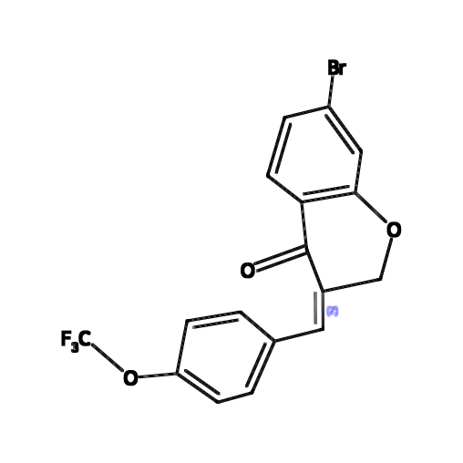 O=C1/C(=C\c2ccc(OC(F)(F)F)cc2)COc2cc(Br)ccc21